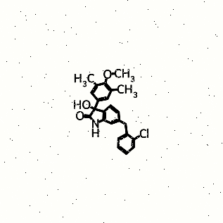 COc1c(C)cc(C2(O)C(=O)Nc3cc(Cc4ccccc4Cl)ccc32)cc1C